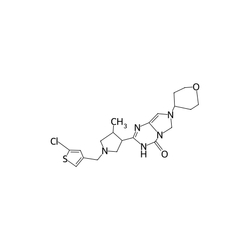 CC1CN(Cc2csc(Cl)c2)CC1C1=NC2=CN(C3CCOCC3)CN2C(=O)N1